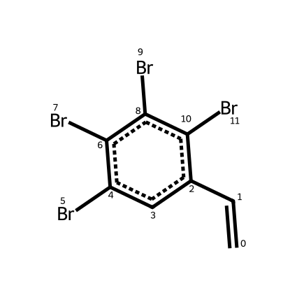 C=Cc1cc(Br)c(Br)c(Br)c1Br